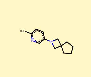 Cc1ccc(N2CC3(CCCC3)C2)cn1